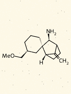 C=C1C2CC[C@@H]1[C@]1(CCC[C@H](COC)C1)[C@H]2N